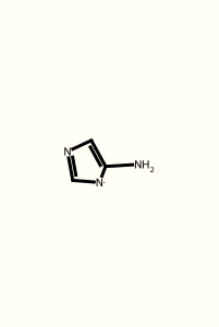 NC1=CN=C[N]1